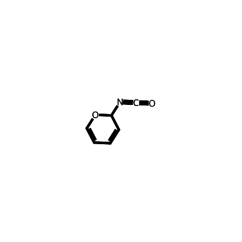 O=C=NC1C=CC=CO1